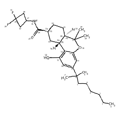 CCCCCCC(C)(C)c1cc(O)c2c(c1)OC(C)(C)[C@@H]1CC[C@H](C(=O)NC3CC(F)(F)C3)C[C@@H]21